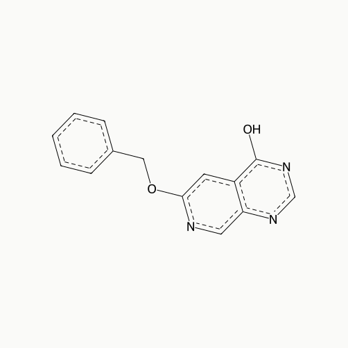 Oc1ncnc2cnc(OCc3ccccc3)cc12